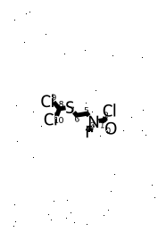 O=C(Cl)N(F)CCSC(Cl)Cl